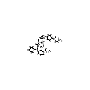 COC(=O)c1cccc2c1c1nc3nc(Nc4ccc(N5CCN(C)CC5)cc4)ncc3c(=O)n1n2-c1ccccn1